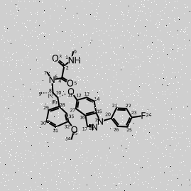 CNC(=O)C(=O)N(C)[C@@H](C)[C@H](Oc1ccc2c(cnn2-c2ccc(F)cc2)c1)c1cccc(OC)c1